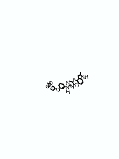 Cc1cc2c(F)c(Oc3ccnc(Nc4cccc(O[C@H]5CCN(S(C)(=O)=O)C5)c4)n3)ccc2[nH]1